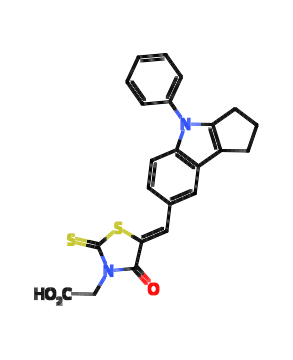 O=C(O)CN1C(=O)/C(=C/c2ccc3c(c2)c2c(n3-c3ccccc3)CCC2)SC1=S